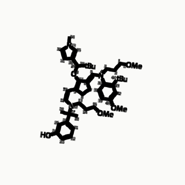 COCCCN(/C=C1\CCC(/C=C\N(CCCOC)C(C)(C)c2cccc(O)c2)=C1OC(c1ccn(C)c1)C(C)(C)C)c1ccc(OC)cc1C(C)(C)C